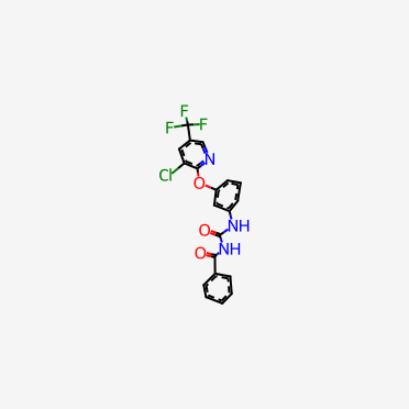 O=C(NC(=O)c1ccccc1)Nc1cccc(Oc2ncc(C(F)(F)F)cc2Cl)c1